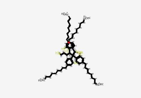 CCCCCCCCCCCCCCCCCCc1ccc([C](S)C(c2ccc(CCCCCCCCCCCCCCCCCC)cc2S)(c2ccc(CCCCCCCCCCCCCCCCCC)cc2S)C(CC[CH]S)c2ccc(CCCCCCCCCCCCCCCCCC)cc2S)c(S)c1